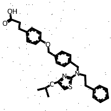 CC(C)Cc1csc(N(CCc2ccccc2)Cc2ccc(COc3ccc(CCC(=O)O)cc3)cc2)n1